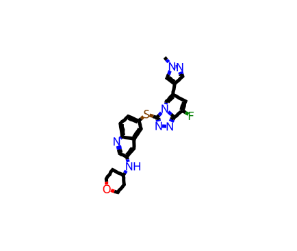 Cn1cc(-c2cc(F)c3nnc(Sc4ccc5ncc(NC6CCOCC6)cc5c4)n3c2)cn1